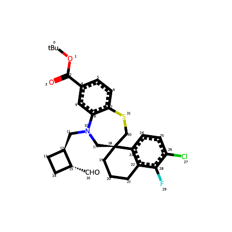 CC(C)(C)OC(=O)c1ccc2c(c1)N(C[C@@H]1CC[C@H]1C=O)C[C@@]1(CCCc3c1ccc(Cl)c3F)CS2